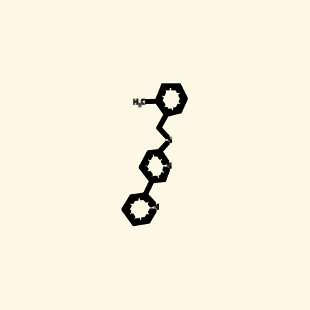 Cc1ccccc1CSc1ccc(-c2ccccn2)cn1